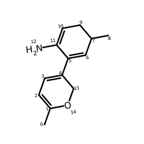 CC1=CC=C(C2=CC(C)CC=C2N)CO1